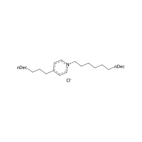 CCCCCCCCCCCCCCCC[n+]1ccc(CCCCCCCCCCCCC)cc1.[Cl-]